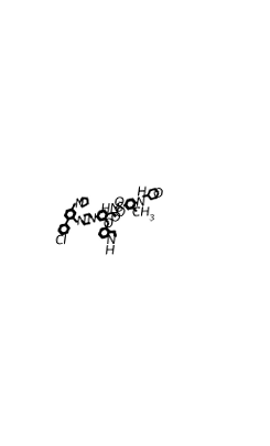 Cc1cc(S(=O)(=O)NC(=O)c2ccc(N3CCN(Cc4cc(CN5CCCC5)ccc4-c4ccc(Cl)cc4)CC3)cc2Oc2cccc3[nH]ccc23)ccc1NCC1CCOCC1